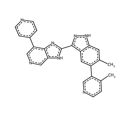 Cc1ccncc1-c1cc2c(-c3nc4c(-c5ccncc5)cncc4[nH]3)n[nH]c2cc1C